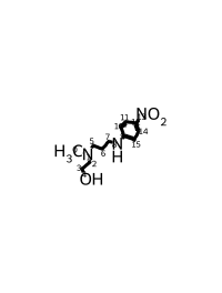 CN(CCO)CCCNc1[c]cc([N+](=O)[O-])cc1